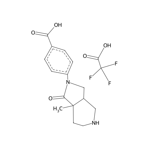 CC12CCNCC1CN(c1ccc(C(=O)O)cc1)C2=O.O=C(O)C(F)(F)F